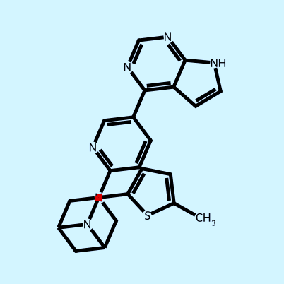 Cc1ccc(CN2C3CC2CN(c2ccc(-c4ncnc5[nH]ccc45)cn2)C3)s1